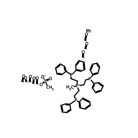 CS(=O)(=O)[O-].C[P+](CCP(c1ccccc1)c1ccccc1)(CCP(c1ccccc1)c1ccccc1)CCP(c1ccccc1)c1ccccc1.[C]=O.[C]=O.[C]=O.[C]=O.[C]=O.[C]=O.[C]=O.[C]=O.[Rh]